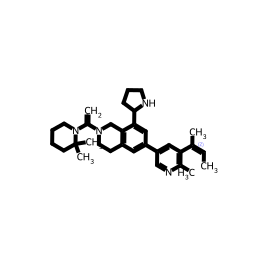 C=C(N1CCc2cc(-c3cnc(C)c(/C(C)=C\C)c3)cc(C3CCCN3)c2C1)N1CCCCC1(C)C